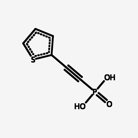 O=P(O)(O)C#Cc1cccs1